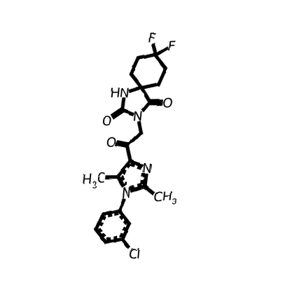 Cc1nc(C(=O)CN2C(=O)NC3(CCC(F)(F)CC3)C2=O)c(C)n1-c1cccc(Cl)c1